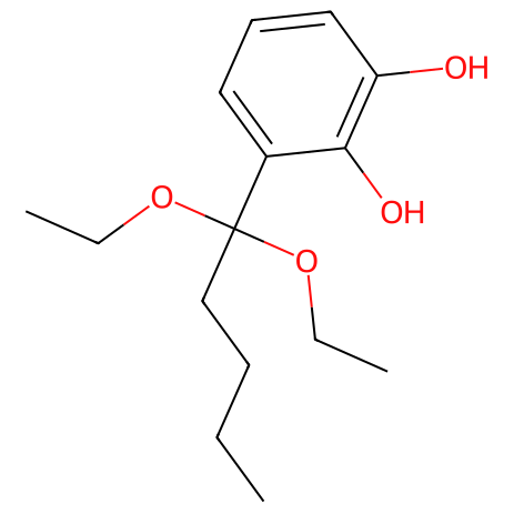 CCCCC(OCC)(OCC)c1cccc(O)c1O